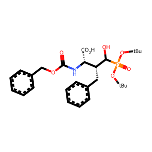 CC(C)(C)OP(=O)(OC(C)(C)C)C(O)[C@H](Cc1ccccc1)[C@H](NC(=O)OCc1ccccc1)C(=O)O